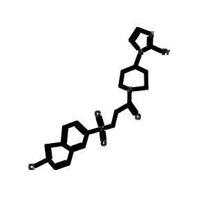 CC(C)c1nccn1C1CCN(C(=O)CCS(=O)(=O)c2ccc3cc(Cl)ccc3c2)CC1